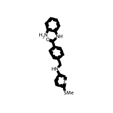 CSc1ccc(NCc2ccc(C(=O)Nc3ccccc3N)cc2)cc1